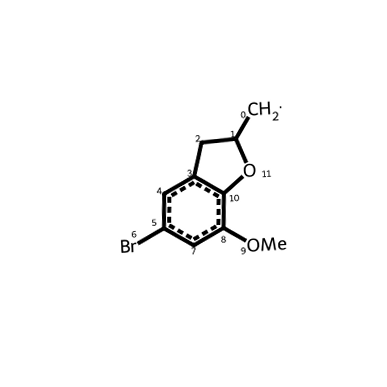 [CH2]C1Cc2cc(Br)cc(OC)c2O1